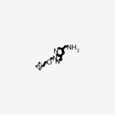 C[Si](C)(C)CCOCn1ncc2cc(CN)cnc21